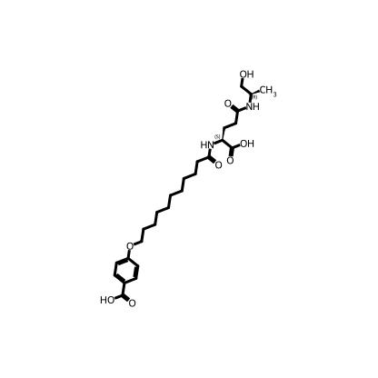 C[C@H](CO)NC(=O)CC[C@H](NC(=O)CCCCCCCCCCOc1ccc(C(=O)O)cc1)C(=O)O